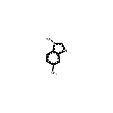 Cc1ccc2c(c1)ncn2N